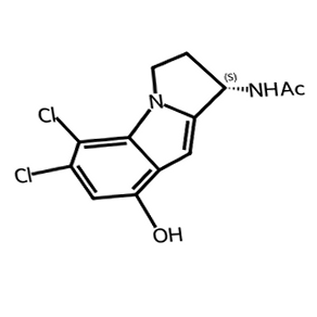 CC(=O)N[C@H]1CCn2c1cc1c(O)cc(Cl)c(Cl)c12